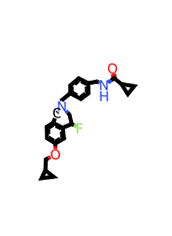 O=C(NCc1ccc(CN2Cc3ccc(OCC4CC4)cc3C(F)C2)cc1)C1CC1